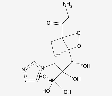 NCC(=O)C12CC[C@@]1([P@](O)C(O)(Cn1ccnc1)[PH](O)(O)O)OO2